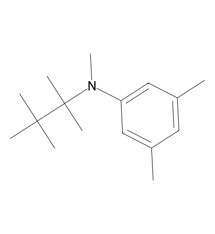 Cc1cc(C)cc(N(C)C(C)(C)C(C)(C)C)c1